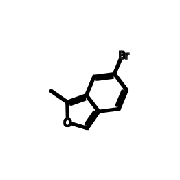 Cc1occ2ccc(Br)cc12